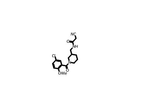 COc1ccc(Cl)cc1C(=O)N1CCCC(CNC(=O)CC#N)C1